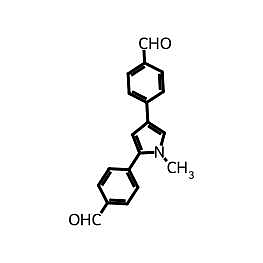 Cn1cc(-c2ccc(C=O)cc2)cc1-c1ccc(C=O)cc1